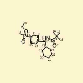 CCOP(C)(=O)c1ccc([C@H](N[S@+]([O-])C(C)(C)C)C2CCCCC2)cc1